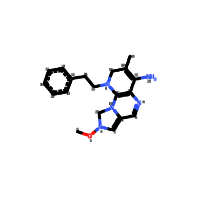 CON1C=C2C=NC3=C(N(CCc4ccccc4)CC(C)=C3N)N2C1